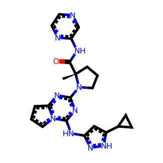 C[C@@]1(C(=O)Nc2cnccn2)CCCN1c1nc(Nc2cc(C3CC3)[nH]n2)n2cccc2n1